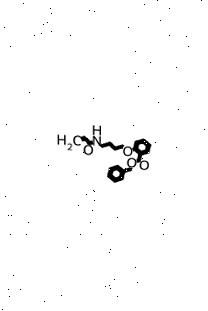 C=CC(=O)NCCCCOc1ccccc1C(=O)OCc1ccccc1